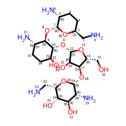 NC[C@@H]1CC[C@@H](N)[C@@H](O[C@H]2[C@H](O[C@@H]3O[C@H](CO)[C@@H](O[C@H]4O[C@@H](CN)[C@@H](O)[C@H](O)[C@H]4N)[C@H]3O)[C@@H](O)CC[C@@H]2N)O1